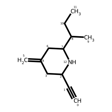 C#CC1CC(=C)CC(C(C)CC)N1